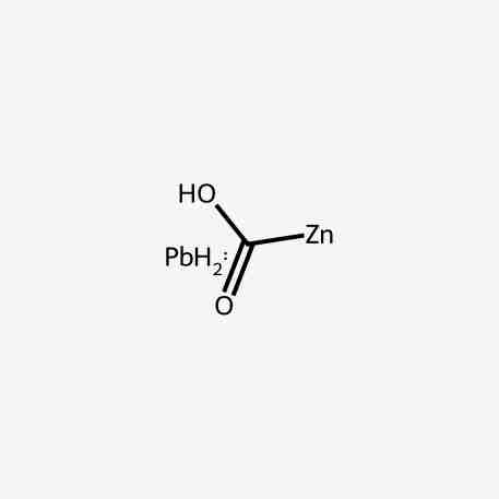 O=[C](O)[Zn].[PbH2]